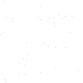 C=CS(=O)(=O)Nc1ccc(OC2CCCC2)c(-c2cc(NC)c(=O)n(C)c2)c1